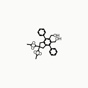 CC1OC(C2(C3OC(C)O3)Cc3c(c(-c4ccccc4)c(CO)c(CO)c3-c3ccccc3)C2)O1